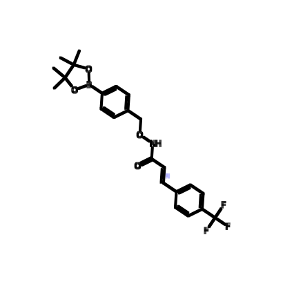 CC1(C)OB(c2ccc(CONC(=O)/C=C/c3ccc(C(F)(F)F)cc3)cc2)OC1(C)C